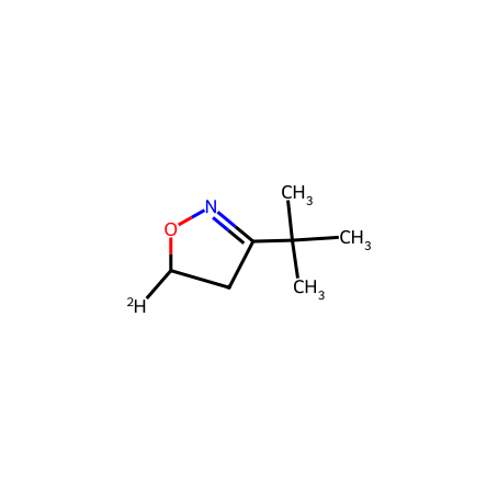 [2H]C1CC(C(C)(C)C)=NO1